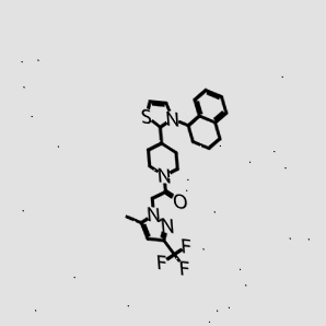 Cc1cc(C(F)(F)F)nn1CC(=O)N1CCC(C2SC=CN2C2CCCc3ccccc32)CC1